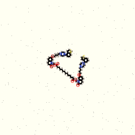 O=C(CCCCCCCCCCCCC(=O)OCN1C(=O)CCc2ccc(OCCCCN3CCN(c4cccc5sccc45)CC3)cc21)OCN1C(=O)CCc2ccc(OCCCCN3CCN(c4cccc5sccc45)CC3)cc21